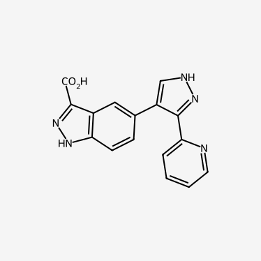 O=C(O)c1n[nH]c2ccc(-c3c[nH]nc3-c3ccccn3)cc12